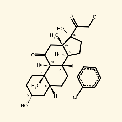 C[C@]12CC[C@@H](O)C[C@H]1CC[C@@H]1[C@@H]2C(=O)C[C@@]2(C)[C@H]1CC[C@]2(O)C(=O)CO.Clc1ccccc1